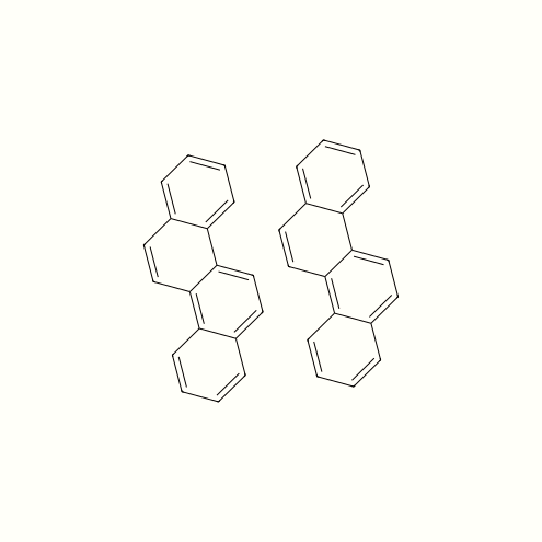 c1ccc2c(c1)ccc1c3ccccc3ccc21.c1ccc2c(c1)ccc1c3ccccc3ccc21